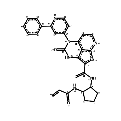 C=CC(=O)NC1CCCC1NC(=C)c1sc2nccc3c2c1NC(=O)N3c1ccnc(-c2ccccc2)c1